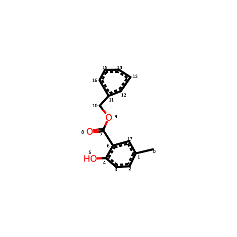 Cc1ccc(O)c(C(=O)OCc2ccccc2)c1